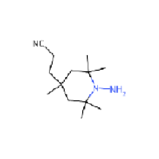 CC1(CCC#N)CC(C)(C)N(N)C(C)(C)C1